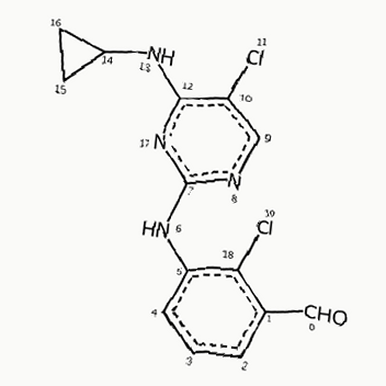 O=Cc1cccc(Nc2ncc(Cl)c(NC3CC3)n2)c1Cl